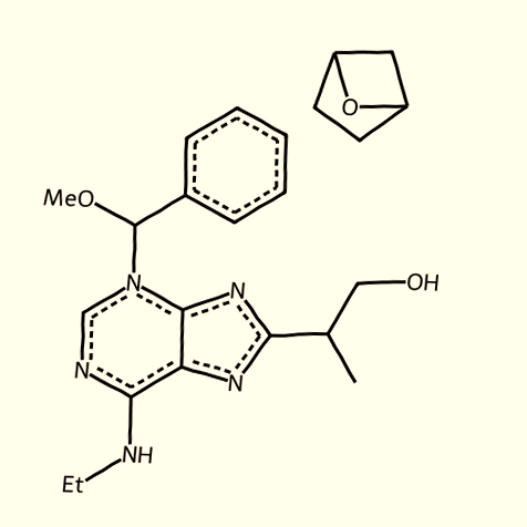 C1CC2CC1O2.CCNc1ncn(C(OC)c2ccccc2)c2nc(C(C)CO)nc1-2